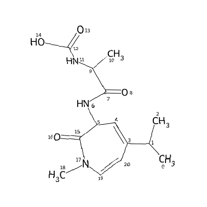 CC(C)C1=CC(NC(=O)C(C)NC(=O)O)C(=O)N(C)C=C1